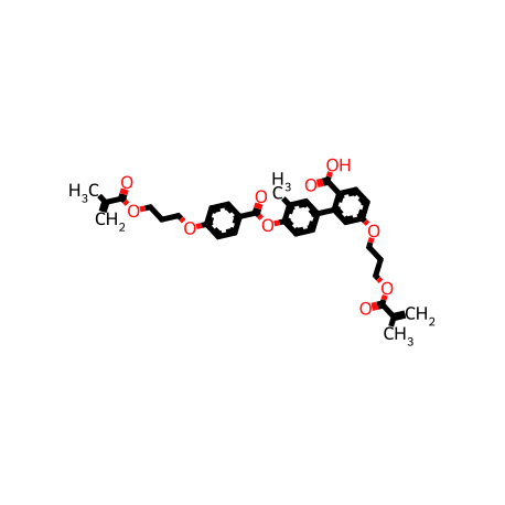 C=C(C)C(=O)OCCCOc1ccc(C(=O)Oc2ccc(-c3cc(OCCCOC(=O)C(=C)C)ccc3C(=O)O)cc2C)cc1